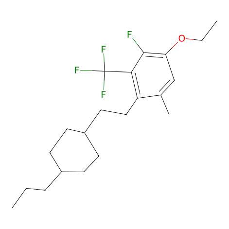 CCCC1CCC(CCc2c(C)cc(OCC)c(F)c2C(F)(F)F)CC1